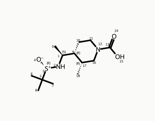 C[C@H](N[S@@+]([O-])C(C)(C)C)[C@@H]1CCN(C(=O)O)C[C@@H]1C